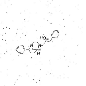 O[C@H](Cc1ccccc1)CN1CCN2C[C@@H]1CCC2c1ccccc1